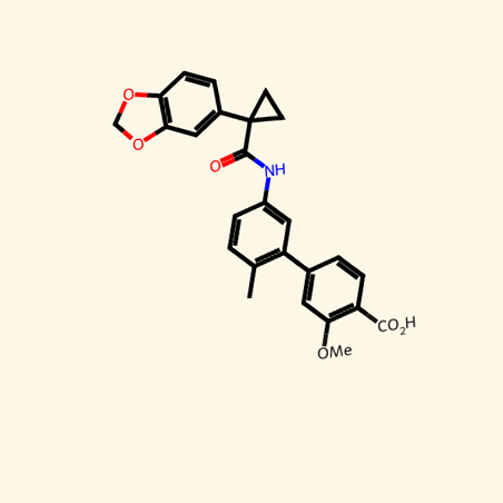 COc1cc(-c2cc(NC(=O)C3(c4ccc5c(c4)OCO5)CC3)ccc2C)ccc1C(=O)O